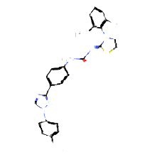 Cc1ccc(-n2cnc(-c3ccc(NC(=O)/N=C4\SCCN4c4c(C)cccc4C)cc3)n2)cc1